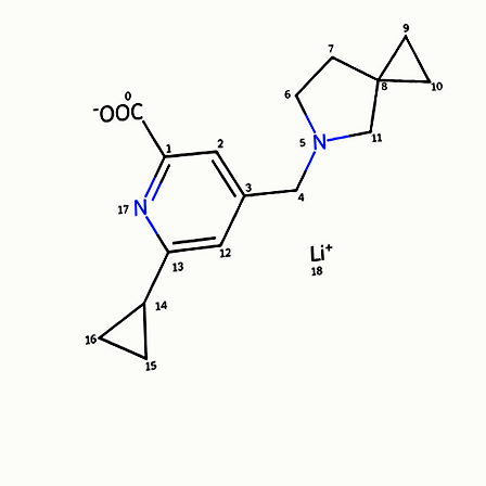 O=C([O-])c1cc(CN2CCC3(CC3)C2)cc(C2CC2)n1.[Li+]